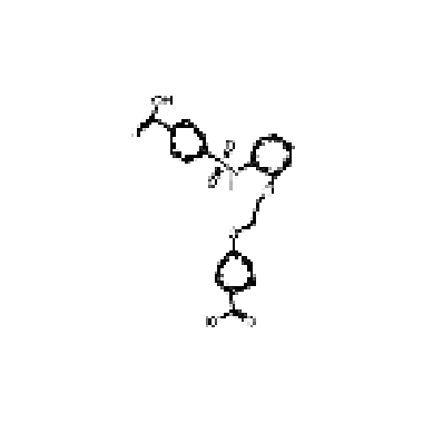 O=C(O)c1ccc(OCCOc2ccccc2NS(=O)(=O)c2ccc(C(=O)O)cc2)cc1